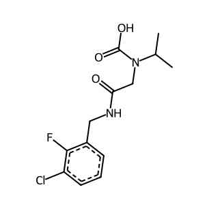 CC(C)N(CC(=O)NCc1cccc(Cl)c1F)C(=O)O